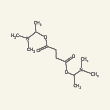 CC(OC(=O)CCC(=O)OC(C)N(C)C)N(C)C